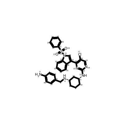 Nc1ccc(CN[C@H]2CCC[C@@H](Nc3ncc(Cl)c(-c4cn(S(=O)(=O)c5ccccc5)c5ccccc45)n3)C2)cc1